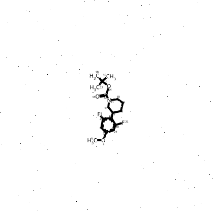 COc1cc(F)c(C2CCCN(C(=O)OC(C)(C)C)C2)c(F)c1